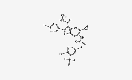 CNC(=O)c1c(-c2ccc(F)cc2)oc2cc(NS(=O)(=O)Cc3ccc(Br)c(C(F)(F)F)c3)c(C3CC3)cc12